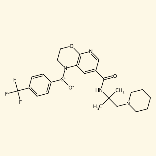 CC(C)(CN1CCCCC1)NC(=O)c1cnc2c(c1)N([S+]([O-])c1ccc(C(F)(F)F)cc1)CCO2